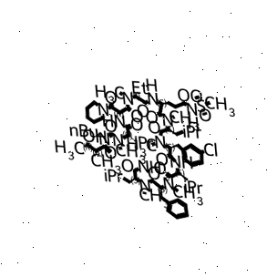 CCCCN(C(=O)[C@@H](C)[C@@H](C)O)C(=O)N(C)[C@H](C(=O)N[C@H](C(=O)N1CCCCC1)C(=O)N(C)[C@@H](CC)C(=O)N[C@@H](CCC(=O)NS(C)(=O)=O)C(=O)N(C)[C@@H](CC(C)C)C(=O)N(C)[C@@H](Cc1cccc(Cl)c1)C(=O)N[C@@H](CC(C)C)C(=O)N(C)[C@@H](Cc1ccccc1)C(=O)N(C)[C@@H](CC(C)C)C(N)=O)C(C)C